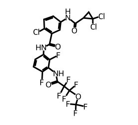 O=C(Nc1ccc(F)c(NC(=O)C(F)(F)C(F)(F)OC(F)(F)F)c1F)c1cc(NC(=O)C2CC2(Cl)Cl)ccc1Cl